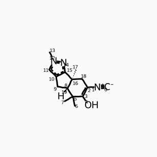 [C-]#[N+]C1=C(O)C(C)(C)[C@@H]2Cc3cn(C)nc3[C@@]2(C)C1